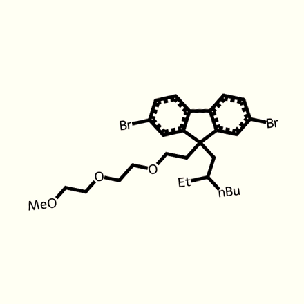 CCCCC(CC)CC1(CCOCCOCCOC)c2cc(Br)ccc2-c2ccc(Br)cc21